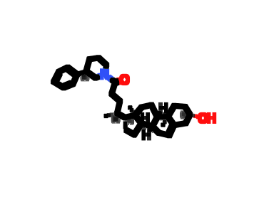 C[C@H](CCC(=O)N1CCC[C@H](c2ccccc2)C1)[C@H]1CC[C@H]2[C@@H]3CC=C4C[C@@H](O)CC[C@]4(C)[C@H]3CC[C@]12C